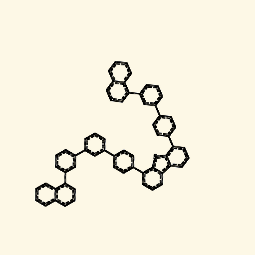 c1cc(-c2ccc(-c3cccc4c3sc3c(-c5ccc(-c6cccc(-c7cccc8ccccc78)c6)cc5)cccc34)cc2)cc(-c2cccc(-c3cccc4ccccc34)c2)c1